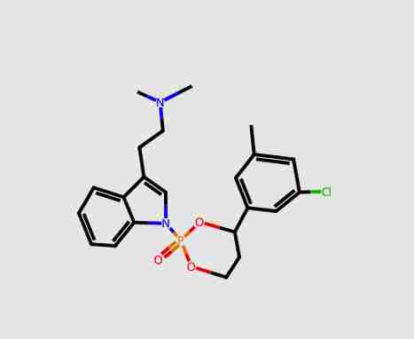 Cc1cc(Cl)cc(C2CCOP(=O)(n3cc(CCN(C)C)c4ccccc43)O2)c1